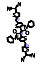 N#CC(C#N)=c1cc/c(=C\c2cc3c(s2)/C(=C2\C(=O)N(c4ccccc4)c4cc(/C=c5\ccc(=C(C#N)C#N)s5)sc42)C(=O)N3c2ccccc2)s1